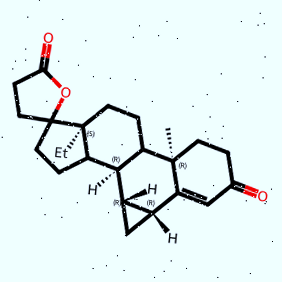 CC[C@]12CCC3[C@H](C1CCC21CCC(=O)O1)[C@H]1C[C@H]1C1=CC(=O)CC[C@@]13C